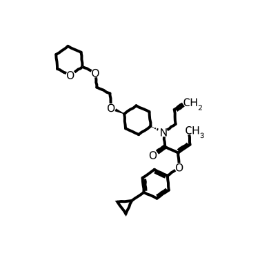 C=CCN(C(=O)C(=CC)Oc1ccc(C2CC2)cc1)[C@H]1CC[C@H](OCCOC2CCCCO2)CC1